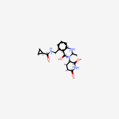 CC1Nc2cccc(CNC(=O)C3CC3)c2C(=O)N1C1CCC(=O)NC1=O